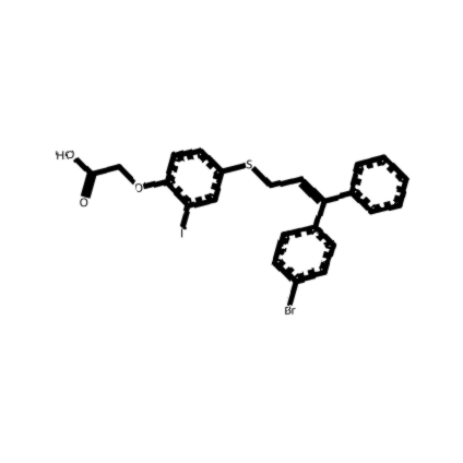 O=C(O)COc1ccc(SCC=C(c2ccccc2)c2ccc(Br)cc2)cc1I